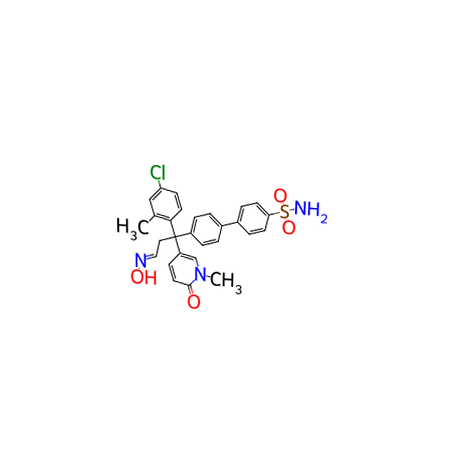 Cc1cc(Cl)ccc1C(CC=NO)(c1ccc(-c2ccc(S(N)(=O)=O)cc2)cc1)c1ccc(=O)n(C)c1